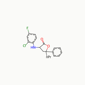 CCCC1(c2ccccc2)CC(Nc2ccc(F)cc2Cl)C(=O)O1